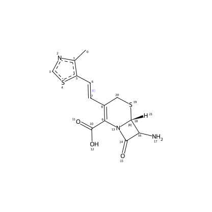 Cc1ncsc1/C=C/C1=C(C(=O)O)N2C(=O)C(N)[C@H]2SC1